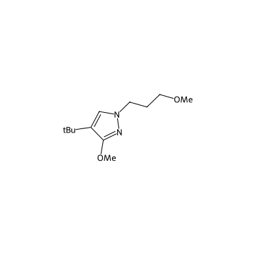 COCCCn1cc(C(C)(C)C)c(OC)n1